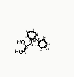 OC=C(O)Cc1cccnc1-c1ccccc1